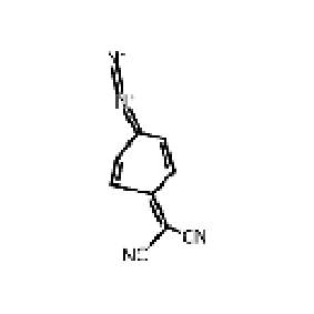 N#CC(C#N)=C1C=CC(=[N+]=[N-])C=C1